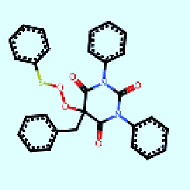 O=C1N(c2ccccc2)C(=O)C(Cc2ccccc2)(OOSc2ccccc2)C(=O)N1c1ccccc1